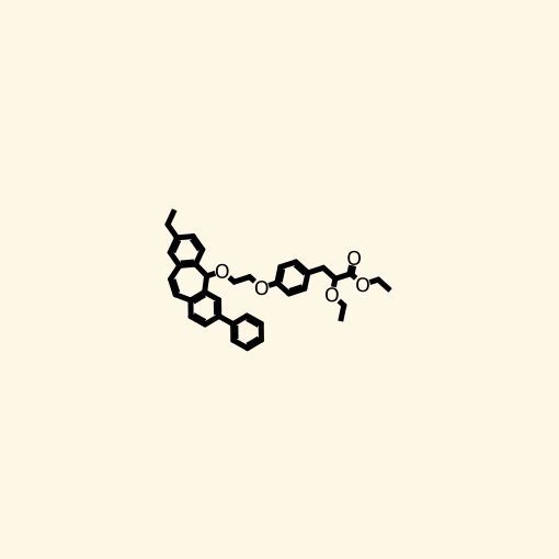 CCOC(=O)C(Cc1ccc(OCCOC2c3ccc(CC)cc3C=Cc3ccc(-c4ccccc4)cc32)cc1)OCC